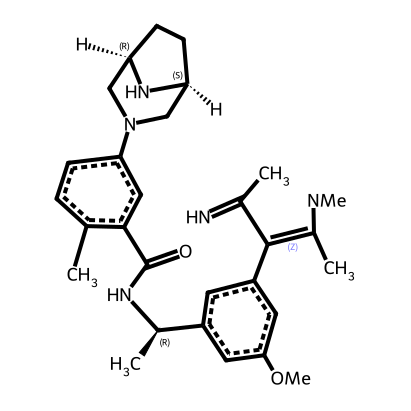 CN/C(C)=C(\C(C)=N)c1cc(OC)cc([C@@H](C)NC(=O)c2cc(N3C[C@H]4CC[C@@H](C3)N4)ccc2C)c1